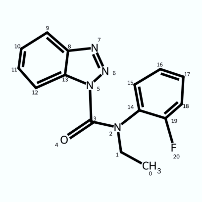 CCN(C(=O)n1nnc2ccccc21)c1ccccc1F